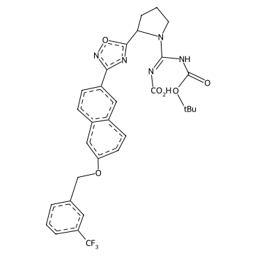 CC(C)(C)OC(=O)NC(=NC(=O)O)N1CCCC1c1nc(-c2ccc3cc(OCc4cccc(C(F)(F)F)c4)ccc3c2)no1